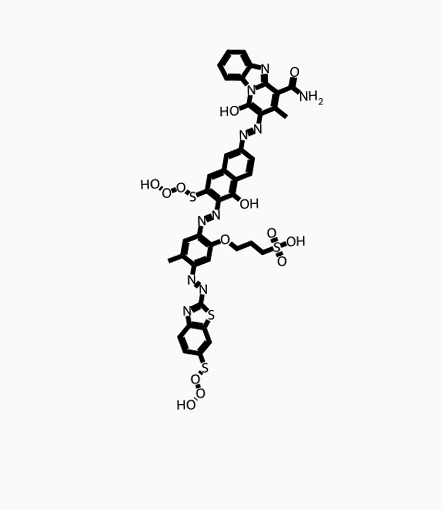 Cc1cc(N=Nc2c(SOOO)cc3cc(N=Nc4c(C)c(C(N)=O)c5nc6ccccc6n5c4O)ccc3c2O)c(OCCCS(=O)(=O)O)cc1N=Nc1nc2ccc(SOOO)cc2s1